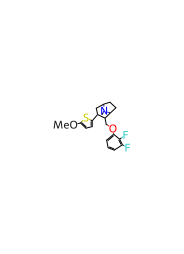 COc1ccc(C2CC3CCC(C2COc2cccc(F)c2F)N3C)s1